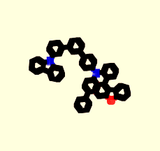 c1ccc(-c2ccc(N(c3ccc(-c4cccc(-c5cccc(-n6c7ccccc7c7ccccc76)c5)c4)cc3)c3ccccc3-c3cccc4oc5ccccc5c34)cc2)cc1